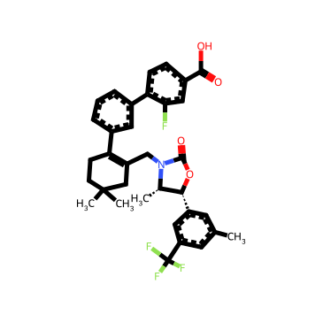 Cc1cc([C@H]2OC(=O)N(CC3=C(c4cccc(-c5ccc(C(=O)O)cc5F)c4)CCC(C)(C)C3)[C@H]2C)cc(C(F)(F)F)c1